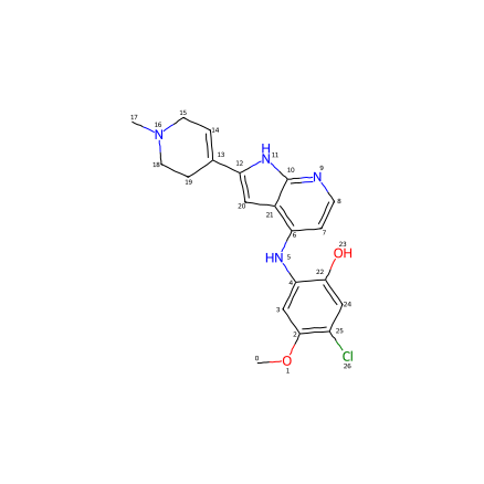 COc1cc(Nc2ccnc3[nH]c(C4=CCN(C)CC4)cc23)c(O)cc1Cl